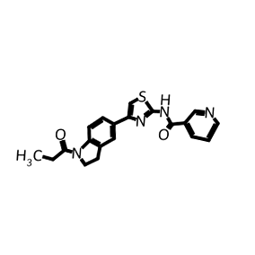 CCC(=O)N1CCc2cc(-c3csc(NC(=O)c4cccnc4)n3)ccc21